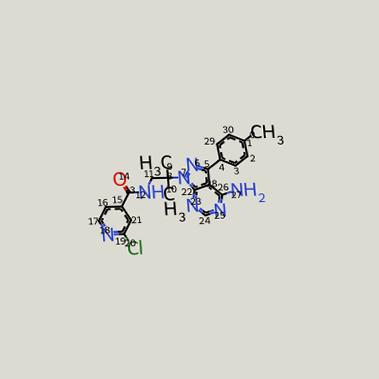 Cc1ccc(-c2nn(C(C)(C)CNC(=O)c3ccnc(Cl)c3)c3ncnc(N)c23)cc1